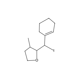 CC1CCOC1C(I)C1=CCCCC1